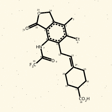 CCc1c(C)c2c(c(NC(=O)C(F)(F)F)c1CC=C1CCC(C(=O)O)CC1)C(=O)OC2